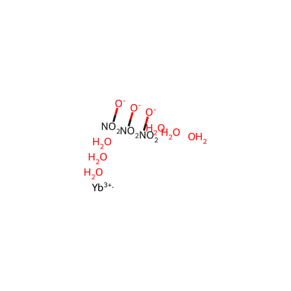 O.O.O.O.O.O.O=[N+]([O-])[O-].O=[N+]([O-])[O-].O=[N+]([O-])[O-].[Yb+3]